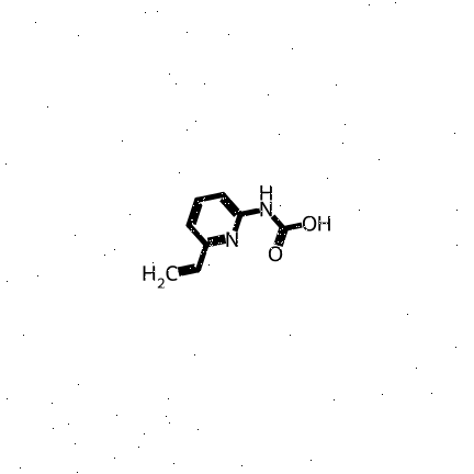 C=Cc1cccc(NC(=O)O)n1